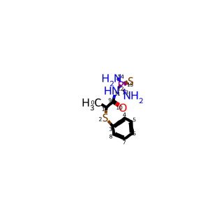 CC(Sc1ccccc1)C(=O)NP(N)(N)=S